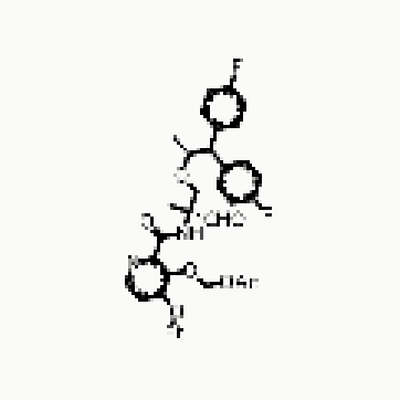 CCOc1ccnc(C(=O)N[C@](C)(C=O)CO[C@@H](C)C(c2ccc(F)cc2)c2ccc(F)cc2)c1OCOC(C)=O